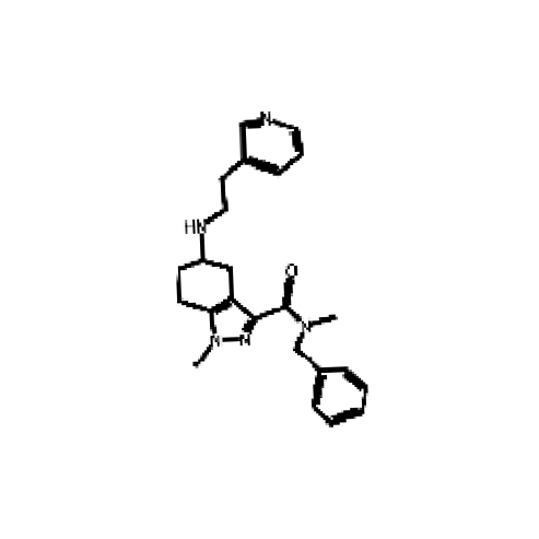 CN(Cc1ccccc1)C(=O)c1nn(C)c2c1CC(NCCc1cccnc1)CC2